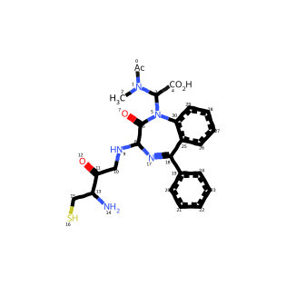 CC(=O)N(C)C(C(=O)O)N1C(=O)C(NCC(=O)C(N)CS)N=C(c2ccccc2)c2ccccc21